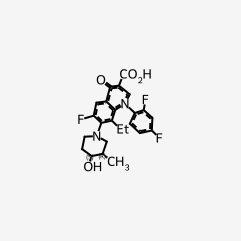 CCc1c(N2CC[C@H](O)[C@H](C)C2)c(F)cc2c(=O)c(C(=O)O)cn(-c3ccc(F)cc3F)c12